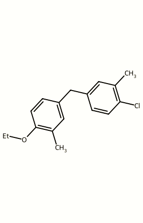 CCOc1ccc(Cc2ccc(Cl)c(C)c2)cc1C